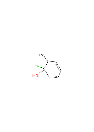 CC(C)C1C=CC=CC1(O)Cl